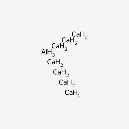 [AlH3].[CaH2].[CaH2].[CaH2].[CaH2].[CaH2].[CaH2].[CaH2]